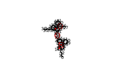 CCCC[C@H]1CC[C@H](C2([C@]3(OCCC)C=C[C@H](COC[C@H]4C=C[C@@](OCCC)(C5([C@H]6CC[C@H](CCCC)CC6)CCCCC5)C=C4)C=C3)CCCCC2)CC1